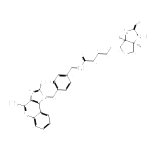 CCCCc1nc2c(N)nc3ccccc3c2n1Cc1ccc(CNC(=O)CCCC[C@H]2SC[C@H]3NC(=O)N[C@H]32)cc1